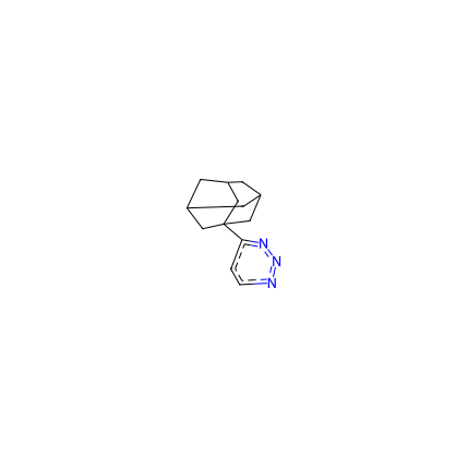 c1cc(C23CC4CC(CC(C4)C2)C3)nnn1